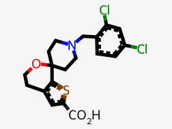 O=C(O)c1cc2c(s1)C1(CCN(Cc3ccc(Cl)cc3Cl)CC1)OCC2